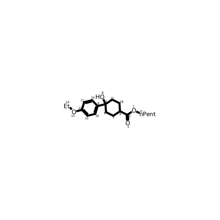 CCCCCOC(=O)C1CCC(O)(c2ccc(OCC)cc2)CC1